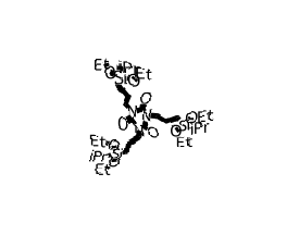 CCO[Si](CCCn1c(=O)n(CCC[Si](OCC)(OCC)C(C)C)c(=O)n(CCC[Si](OCC)(OCC)C(C)C)c1=O)(OCC)C(C)C